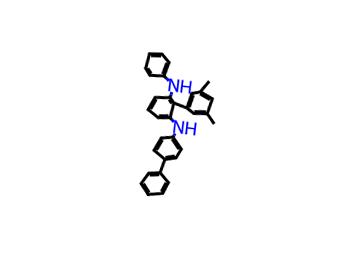 Cc1cc(C)cc(-c2c(Nc3ccccc3)cccc2Nc2ccc(-c3ccccc3)cc2)c1